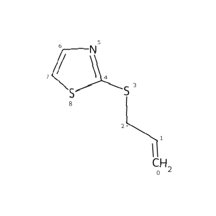 C=C[CH]Sc1nccs1